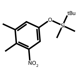 Cc1cc(O[Si](C)(C)C(C)(C)C)cc([N+](=O)[O-])c1C